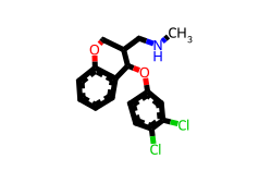 CNCC1COc2ccccc2C1Oc1ccc(Cl)c(Cl)c1